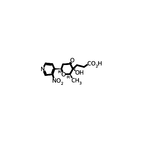 C[C@H]1O[C@@H](c2ccncc2[N+](=O)[O-])CC(=O)[C@@]1(O)CCC(=O)O